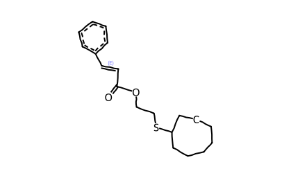 O=C(/C=C/c1ccccc1)OCCSC1CCCCCCC1